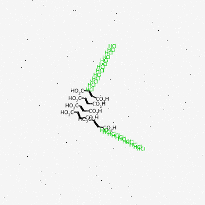 Cl.Cl.Cl.Cl.Cl.Cl.Cl.Cl.Cl.Cl.Cl.Cl.Cl.Cl.Cl.Cl.Cl.Cl.Cl.Cl.Cl.Cl.Cl.Cl.O=C(O)/C=C/C(=O)O.O=C(O)/C=C/C(=O)O.O=C(O)/C=C/C(=O)O.O=C(O)/C=C/C(=O)O.O=C(O)/C=C/C(=O)O